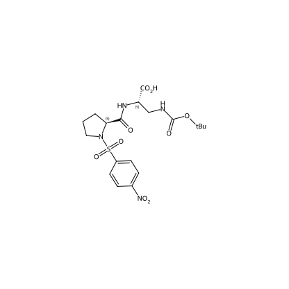 CC(C)(C)OC(=O)NC[C@H](NC(=O)[C@@H]1CCCN1S(=O)(=O)c1ccc([N+](=O)[O-])cc1)C(=O)O